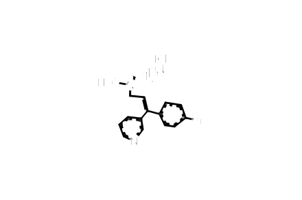 CN(C)CC=C(c1ccc(Br)cc1)c1cccnc1.Cl.Cl.O